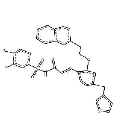 O=C(/C=C/c1ccc(Cc2ccsc2)cc1OCCc1ccc2ccccc2c1)NS(=O)(=O)c1ccc(F)c(F)c1